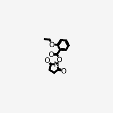 CCOc1ccccc1C(=O)ON1C(=O)CCC1=O